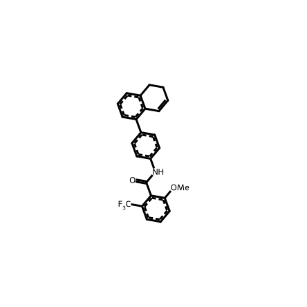 COc1cccc(C(F)(F)F)c1C(=O)Nc1ccc(-c2cccc3c2C=CCC3)cc1